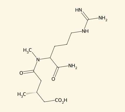 C[C@@H](CC(=O)O)CC(=O)N(C)C(CCCNC(=N)N)C(N)=O